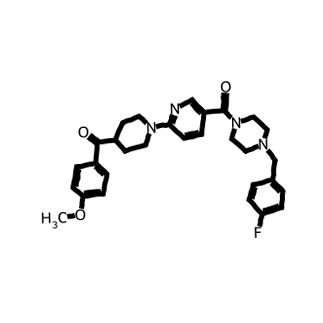 COc1ccc(C(=O)C2CCN(c3ccc(C(=O)N4CCN(Cc5ccc(F)cc5)CC4)cn3)CC2)cc1